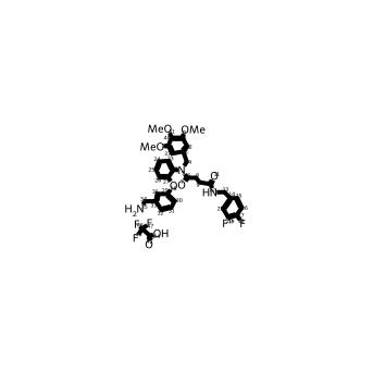 COc1cc(CN(C(=O)CCC(=O)NCc2ccc(F)c(F)c2)c2ccccc2Oc2cccc(CN)c2)cc(OC)c1OC.O=C(O)C(F)(F)F